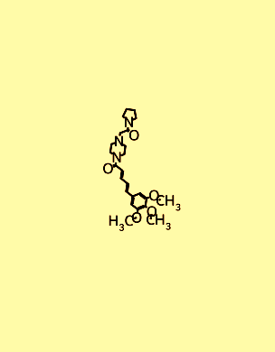 COc1cc(C=CC=CC(=O)N2CCN(CC(=O)N3CCCC3)CC2)cc(OC)c1OC